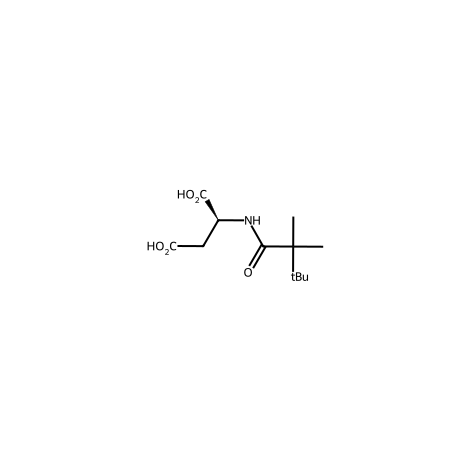 CC(C)(C)C(C)(C)C(=O)N[C@@H](CC(=O)O)C(=O)O